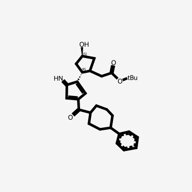 CC(C)(C)OC(=O)CC1C[C@H](O)C[C@H]1C1=CC(C(=O)C2CCCC(c3ccccc3)CC2)=CC1=N